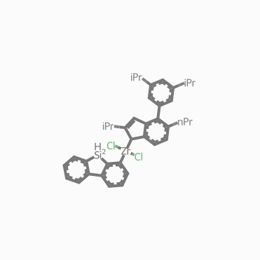 CCCc1ccc2c(c1-c1cc(C(C)C)cc(C(C)C)c1)C=C(C(C)C)[CH]2[Zr]([Cl])([Cl])[c]1cccc2c1[SiH2]c1ccccc1-2